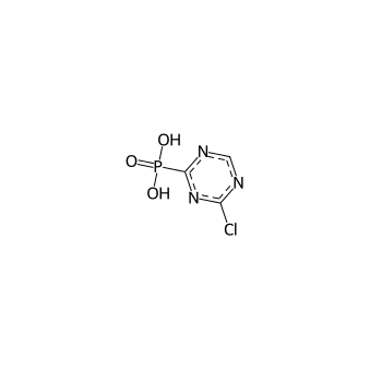 O=P(O)(O)c1ncnc(Cl)n1